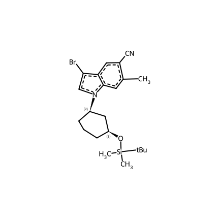 Cc1cc2c(cc1C#N)c(Br)cn2[C@@H]1CCC[C@H](O[Si](C)(C)C(C)(C)C)C1